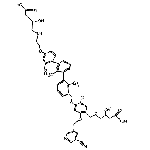 Cc1c(COc2cc(OCc3cncc(C#N)c3)c(CNC[C@@H](O)CC(=O)O)cc2Cl)cccc1-c1cccc(-c2ccc(OCCNC[C@@H](O)CC(=O)O)cc2Cl)c1C